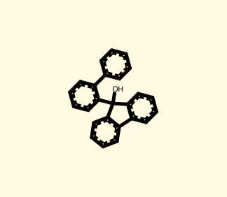 OC1(c2ccccc2-c2ccccc2)c2ccccc2-c2ccccc21